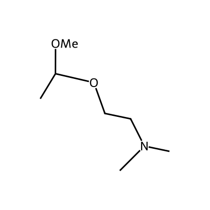 COC(C)OCCN(C)C